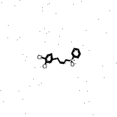 [O-][S+](C/[C]=C\Cc1ccc(Cl)c(Cl)c1)c1ccccc1